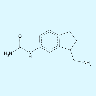 NCC1CCc2ccc(NC(N)=O)cc21